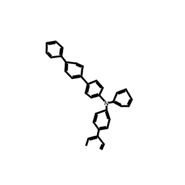 C=C/C(=C\C)c1ccc(N(c2ccccc2)c2ccc(-c3ccc(-c4ccccc4)cc3)cc2)cc1